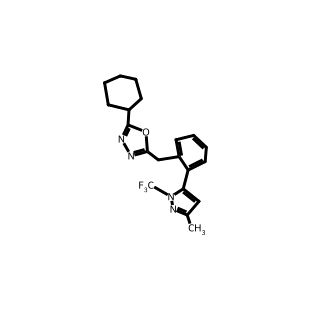 Cc1cc(-c2ccccc2Cc2nnc(C3CCCCC3)o2)n(C(F)(F)F)n1